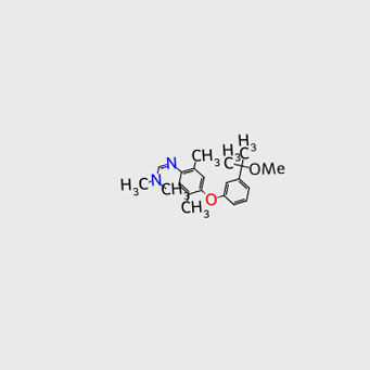 COC(C)(C)c1cccc(Oc2cc(C)c(/N=C\N(C)C)cc2C)c1